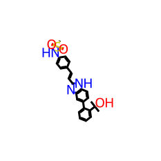 CC(C)(O)c1ccccc1-c1ccc2[nH]c(/C=C/c3ccc(NS(C)(=O)=O)cc3)nc2c1